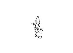 C=C(OCOP(=O)(O)c1nc2ccccc2n(C)c1=O)c1ccccc1